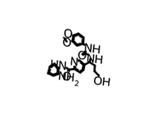 Nc1ccccc1NC(=O)c1ccc(C(CCCO)NC(=O)Nc2ccc3c(c2)OCO3)cn1